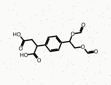 O=COCC(OC=O)c1ccc(C(CC(=O)O)C(=O)O)cc1